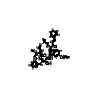 C=CCCN(C(=O)OCc1ccccc1)C1C[C@H](NC[C@@H](O)[C@H](Cc2ccccc2)NC(=O)C(CC=C)N(C)C(C)=O)c2cc(OC)ccc21